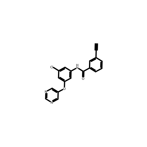 C#Cc1cccc(C(=O)Nc2cc(Cl)cc(Oc3cncnc3)c2)c1